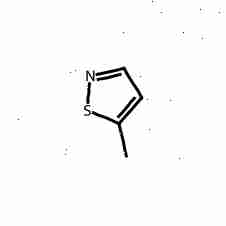 Cc1ccns1